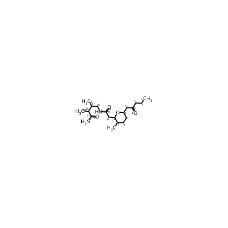 CCCC(=O)CC1CCC(C)C(CC(=O)NCC(C)C(C)C(N)=O)O1